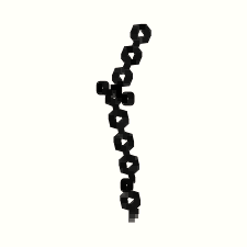 O=C1C=C(c2ccc(-c3ccc(-c4ccc(COc5ccc(F)cc5)cc4)cc3)cc2)C(=O)N1c1ccc(-c2ccc(-c3ccccc3)cc2)cc1